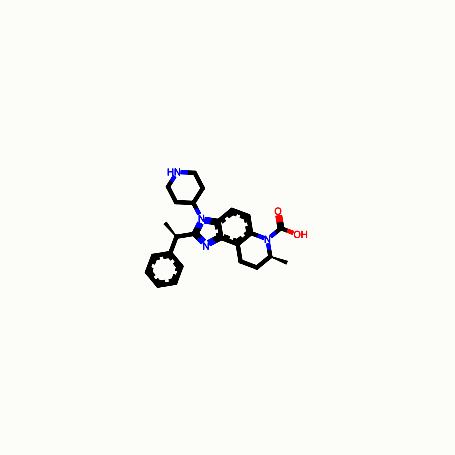 C[C@H](c1ccccc1)c1nc2c3c(ccc2n1C1CCNCC1)N(C(=O)O)[C@@H](C)CC3